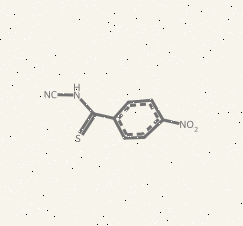 N#CNC(=S)c1ccc([N+](=O)[O-])cc1